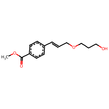 COC(=O)c1ccc(/C=C/COCCCO)cc1